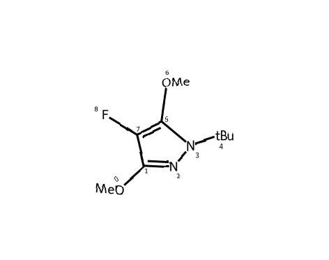 COc1nn(C(C)(C)C)c(OC)c1F